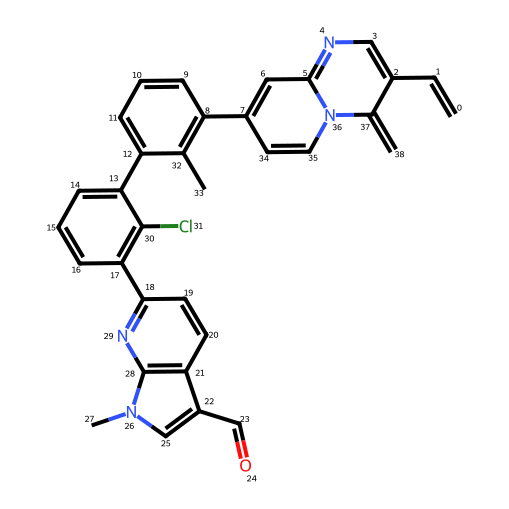 C=CC1=CN=C2C=C(c3cccc(-c4cccc(-c5ccc6c(C=O)cn(C)c6n5)c4Cl)c3C)C=CN2C1=C